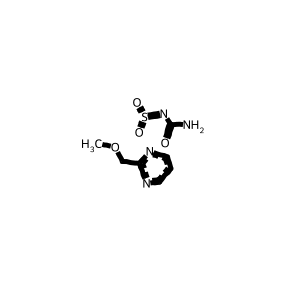 COCc1ncccn1.NC(=O)N=S(=O)=O